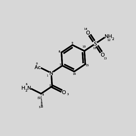 CC(=O)N(C(=O)[C@H](C)N)c1ccc(S(N)(=O)=O)cc1